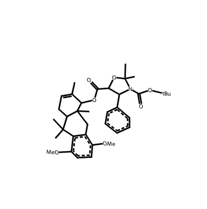 COc1ccc(OC)c2c1CC1(C)C(OC(=O)C3OC(C)(C)N(C(=O)OC(C)(C)C)C3c3ccccc3)C(C)=CCC1C2(C)C